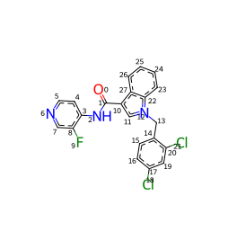 O=C(Nc1ccncc1F)c1cn(Cc2ccc(Cl)cc2Cl)c2ccccc12